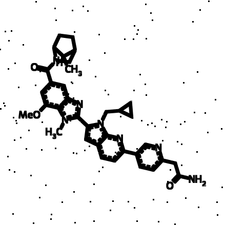 COc1cc(C(=O)N2CC3CCC2[C@@H]3C)cc2nc(-c3cc4ccc(-c5ccc(CC(N)=O)nc5)nc4n3CC3CC3)n(C)c12